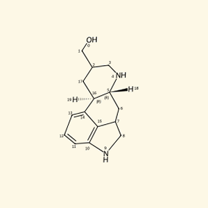 OCC1CN[C@@H]2CC3CNc4cccc(c43)[C@H]2C1